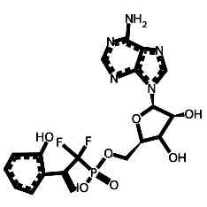 C=C(c1ccccc1O)C(F)(F)P(=O)(O)OC[C@H]1O[C@@H](n2cnc3c(N)ncnc32)[C@@H](O)C1O